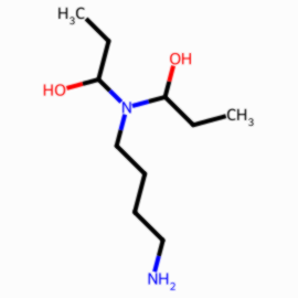 CCC(O)N(CCCCN)C(O)CC